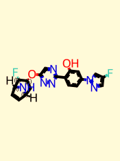 Oc1cc(-n2cc(F)cn2)ccc1-c1ncc(O[C@H]2C[C@@H]3C=C[C@@H](N3)[C@H]2F)nn1